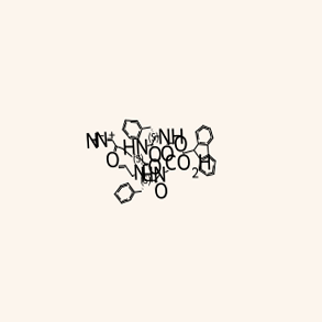 C=CCN(C(=O)[C@H](CCC(=O)C=[N+]=[N-])NC(=O)[C@H](Cc1ccccc1)NC(=O)OCC1c2ccccc2-c2ccccc21)[C@@H](Cc1ccccc1)C(=O)NCC(=O)O